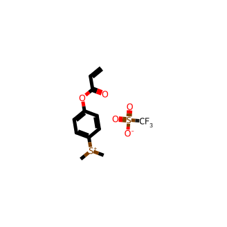 C=CC(=O)Oc1ccc([S+](C)C)cc1.O=S(=O)([O-])C(F)(F)F